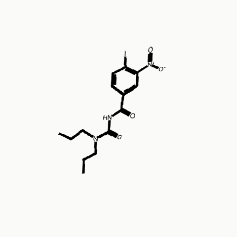 CCCN(CCC)C(=O)NC(=O)c1ccc(I)c([N+](=O)[O-])c1